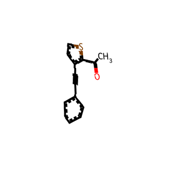 CC(=O)c1sccc1C#Cc1ccccc1